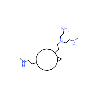 CNCCC1CCCCCC(CCN(CCN)CCNC)C2CC2CCCCC1